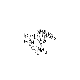 [NH2][Co]([NH2])([NH2])([NH2])([NH2])([NH2])[Cl]